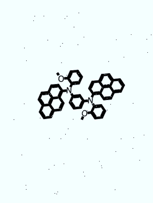 COc1ccccc1N(c1cccc(N(c2ccccc2OC)c2ccc3ccc4cccc5ccc2c3c45)c1)c1ccc2ccc3cccc4ccc1c2c34